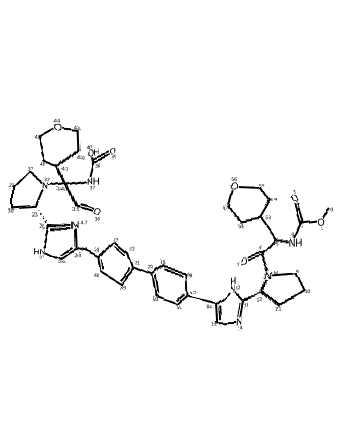 COC(=O)NC(C(=O)N1CCC[C@H]1c1ncc(-c2ccc(-c3ccc(-c4c[nH]c([C@@H]5CCCN5C(C=O)(NC(=O)O)C5CCOCC5)n4)cc3)cc2)[nH]1)C1CCOCC1